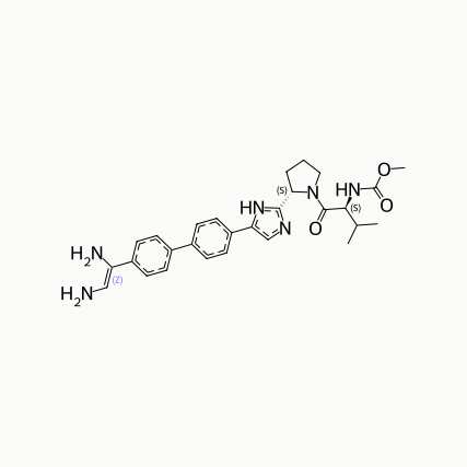 COC(=O)N[C@H](C(=O)N1CCC[C@H]1c1ncc(-c2ccc(-c3ccc(/C(N)=C/N)cc3)cc2)[nH]1)C(C)C